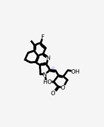 Cc1c(F)cc2nc3c(c4c2c1CCC4)CN(C)/C3=C\C1=C(CO)COC(=O)C1O